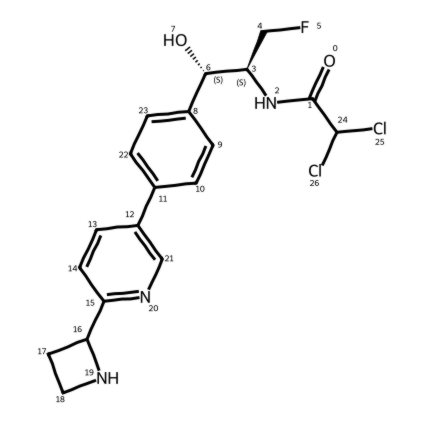 O=C(N[C@H](CF)[C@@H](O)c1ccc(-c2ccc(C3CCN3)nc2)cc1)C(Cl)Cl